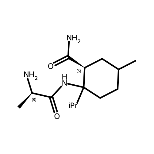 CC1CCC(NC(=O)[C@@H](C)N)(C(C)C)[C@@H](C(N)=O)C1